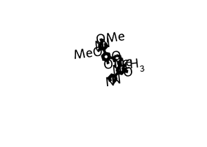 COc1ncc(-c2ccc(OC)c(C3CN(c4nc(-c5ccncn5)cc(=O)n4C)CCO3)c2)c(OC)n1